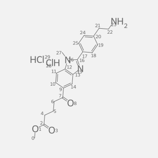 COC(=O)CCCC(=O)c1ccc2c(c1)nc(-c1ccc(CCN)cc1)n2C.Cl.Cl